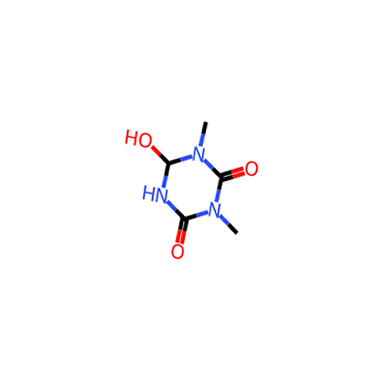 CN1C(=O)NC(O)N(C)C1=O